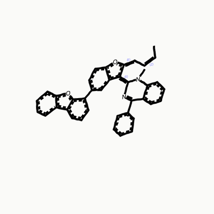 C\C=C/C=c1/oc2ccc(-c3cccc4c3oc3ccccc34)cc2/c1=C1\N=C(c2ccccc2)c2ccccc2N1C